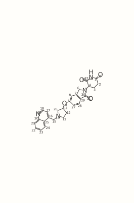 O=C1CCC(N2Cc3cc(OC4CCN(Cc5ccnc6ccccc56)C4)ccc3C2=O)C(=O)N1